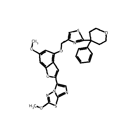 COc1cc(OCc2csc(C3(c4ccccc4)CCOCC3)n2)c2cc(-c3cnc4sc(OC)nn34)oc2c1